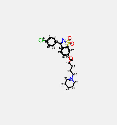 O=S1(=O)N=C(c2ccc(Cl)cc2)c2ccc(OCCCCN3CCCCC3)cc21